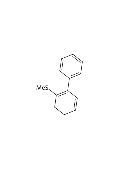 CSC1=C(c2ccccc2)C=CCC1